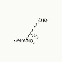 CCCCC/C(=C/C/C=C(/C/C=C/C/C=C/CCC[C]=O)[N+](=O)[O-])[N+](=O)[O-]